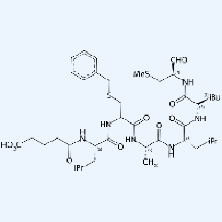 CC[C@H](C)[C@H](NC(=O)[C@H](CC(C)C)NC(=O)[C@H](C)NC(=O)C(CSCc1ccccc1)NC(=O)[C@H](CC(C)C)NC(=O)CCCC(=O)O)C(=O)N[C@H](C=O)CSC